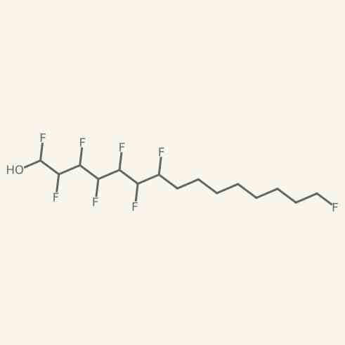 OC(F)C(F)C(F)C(F)C(F)C(F)C(F)CCCCCCCCF